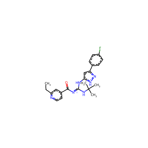 CCc1cc(C(=O)/N=C(\Nc2cc(-c3ccc(F)cc3)n[nH]2)NC(C)(C)C)ccn1